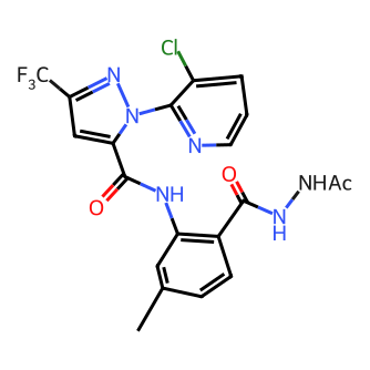 CC(=O)NNC(=O)c1ccc(C)cc1NC(=O)c1cc(C(F)(F)F)nn1-c1ncccc1Cl